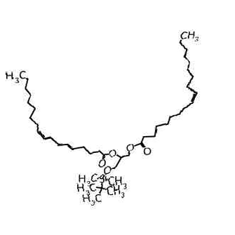 CCCCCCCC/C=C\CCCCCCCC(=O)OCC(CO[Si](C)(C)C(C)(C)C)OC(=O)CCCCCCC/C=C\CCCCCCCC